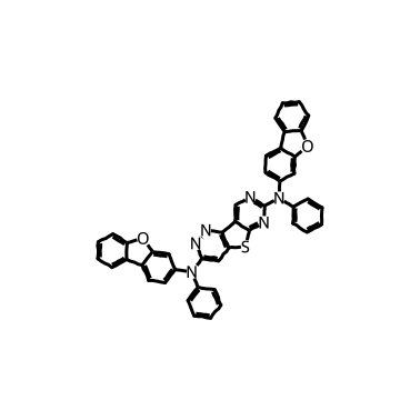 c1ccc(N(c2ccc3c(c2)oc2ccccc23)c2cc3sc4nc(N(c5ccccc5)c5ccc6c(c5)oc5ccccc56)ncc4c3nn2)cc1